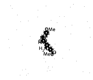 COC(=O)c1ccc(-c2ccc(-c3nc4c(nnn4Cc4ccc(OC)cc4)c(=O)[nH]3)cc2N)cc1